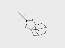 CC(C)(C)B1OC23CC4CC(C2)CC3(C4)O1